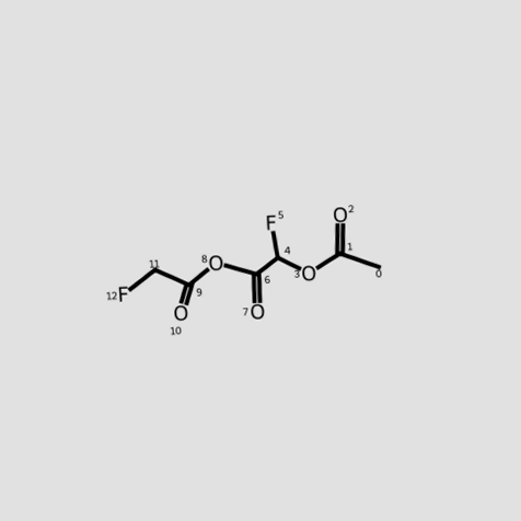 CC(=O)OC(F)C(=O)OC(=O)CF